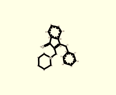 O=C1C(CN2CCCCC2)=C(Cc2ccccc2)c2ccccc21